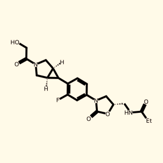 CCC(=O)NC[C@H]1CN(c2ccc(C3[C@H]4CN(C(=O)CO)C[C@@H]34)c(F)c2)C(=O)O1